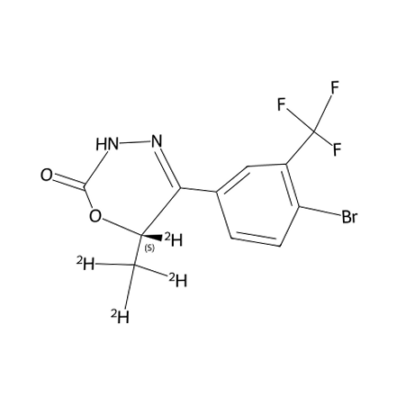 [2H]C([2H])([2H])[C@]1([2H])OC(=O)NN=C1c1ccc(Br)c(C(F)(F)F)c1